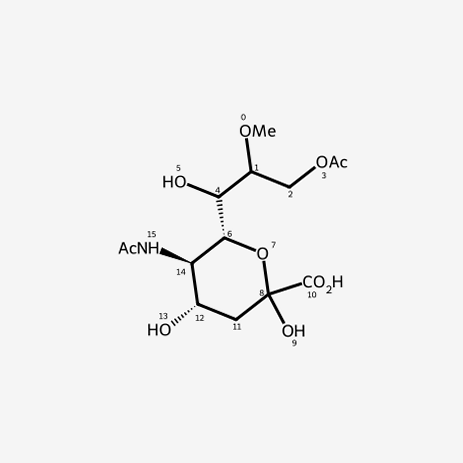 COC(COC(C)=O)C(O)[C@@H]1OC(O)(C(=O)O)C[C@H](O)[C@H]1NC(C)=O